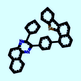 c1ccc(-c2nc3ccc4ccccc4c3nc2-c2ccc(-c3cccc4ccc5c6ccccc6sc5c34)cc2)cc1